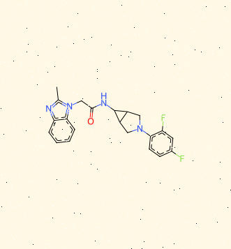 Cc1nc2ccccc2n1CC(=O)NC1C2CN(c3ccc(F)cc3F)CC21